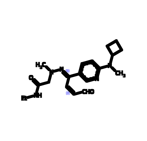 CCNC(=O)CN(C)/N=C(\C=C/C=O)c1ccc(N(C)C2CCC2)nc1